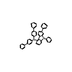 c1ccc(-c2ccc(N(c3ccc(-c4ccccc4)cc3)c3cccc4c3c3ccc(-c5ccccc5)cc3n4-c3ccccc3)cc2)cc1